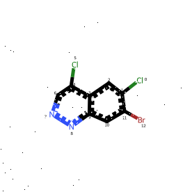 Clc1cc2c(Cl)cnnc2cc1Br